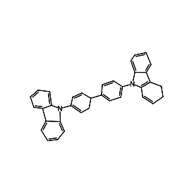 C1=Cc2c(c3ccccc3n2-c2ccc(C3C=CC(n4c5ccccc5c5ccccc54)=CC3)cc2)CC1